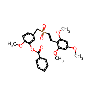 COc1cc(OC)c(C=CS(=O)(=O)Cc2ccc(OC)c(OC(=O)c3ccccc3)c2)c(OC)c1